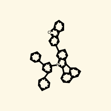 c1ccc(-c2cc(-c3ccccc3)cc(-n3c4c(c5ccc(-c6ccc7oc8ccccc8c7c6)cc53)-c3cccc5cccc-4c35)c2)cc1